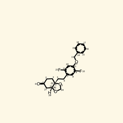 O=C1CC[C@]2(CCc3cc(F)c(OCc4ccccc4)cc3F)OCO[C@@H]2C1